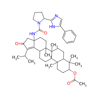 CC(=O)OC1CCC2(C)C(CCC3(C)C2CCC2C4=C(C(C)C)C(=O)CC4(NC(=O)N4CCCC4c4ncc(-c5ccccc5)[nH]4)CCC23C)C1(C)C